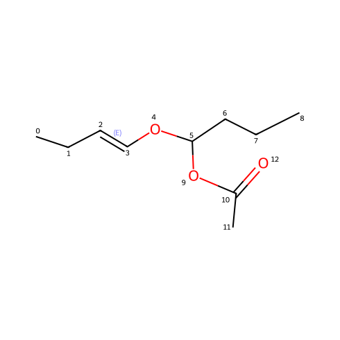 CC/C=C/OC(CCC)OC(C)=O